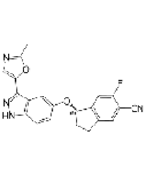 Cc1ncc(-c2n[nH]c3ccc(O[C@@H]4CCc5cc(C#N)c(F)cc54)cc23)o1